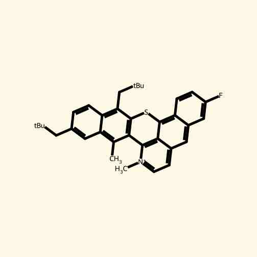 Cc1c2c(c(CC(C)(C)C)c3ccc(CC(C)(C)C)cc13)Sc1c3ccc(F)cc3cc3cc[n+](C)c-2c13